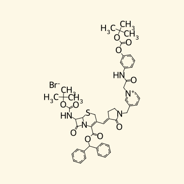 CC(C)(C)OC(=O)NC1C(=O)N2C(C(=O)OC(c3ccccc3)c3ccccc3)=C(C=C3CCN(Cc4ccc[n+](CC(=O)Nc5cccc(OC(=O)OC(C)(C)C)c5)c4)C3=O)CSC12.[Br-]